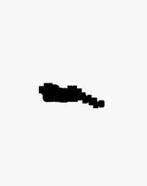 CCCCCCCCSc1ncc(-c2ccc(OC(=O)[C@@H](Cl)C(C)C)cc2)cn1